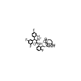 NC(C(=O)Nc1cccc(F)c1CC[C@H]1CN[C@@H]2CCCS(=O)(=O)N1CC2)C(c1ccc(F)cc1)c1cc(F)cc(F)c1